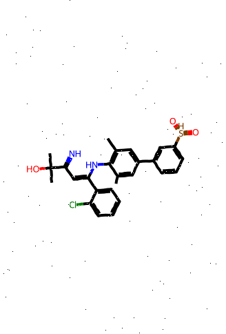 Cc1cc(-c2cccc([SH](=O)=O)c2)cc(C)c1N/C(=C\C(=N)C(C)(C)O)c1ccccc1Cl